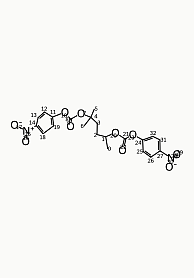 CC(CCC(C)(C)OC(=O)Oc1ccc([N+](=O)[O-])cc1)OC(=O)Oc1ccc([N+](=O)[O-])cc1